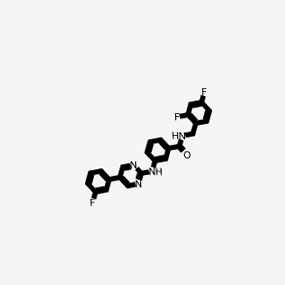 O=C(NCc1ccc(F)cc1F)c1cccc(Nc2ncc(-c3cccc(F)c3)cn2)c1